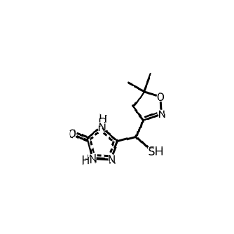 CC1(C)CC(C(S)c2n[nH]c(=O)[nH]2)=NO1